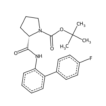 CC(C)(C)OC(=O)N1CCC[C@H]1C(=O)Nc1ccccc1-c1ccc(F)cc1